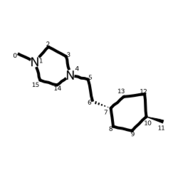 CN1CCN(CC[C@H]2CC[C@H](C)CC2)CC1